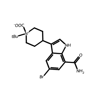 CC(C)(C)[N+]1(C(=O)[O-])CCC(c2c[nH]c3c(C(N)=O)cc(Br)cc23)CC1